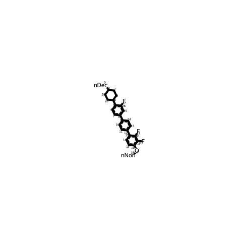 CCCCCCCCCCC1CCC(c2ccc(-c3ccc(-c4ccc(OCCCCCCCCC)c(F)c4F)cc3)cc2F)CC1